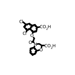 O=C(O)c1cc(OCC(=O)N2CC(C(=O)O)Oc3ccccc32)c2c(Cl)cc(Cl)cc2c1